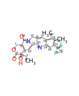 CC[C@@]1(O)C(=O)OCc2c1cc1n(c2=O)Cc2cc3c(C)c(C)c(C(F)(F)F)cc3nc2-1